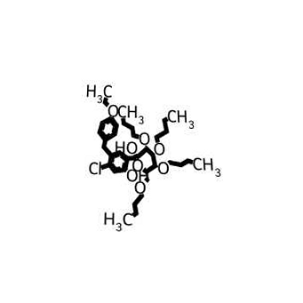 CCCCOC[C@H]1OC(O)(c2cc(Cc3ccc(OCC)cc3)c(Cl)cc2O)[C@H](OCCCC)[C@@H](OCCCC)[C@@H]1OCCCC